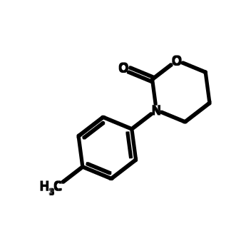 Cc1ccc(N2CCCOC2=O)cc1